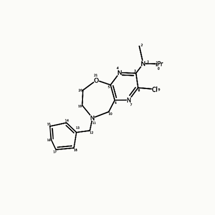 CC(C)N(C)c1nc2c(nc1Cl)CN(Cc1ccccc1)CCO2